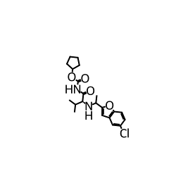 CC(N[C@H](C(=O)NC(=O)OC1CCCC1)C(C)C)c1cc2cc(Cl)ccc2o1